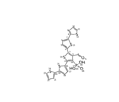 O=Cc1c(-c2ccc(-c3cccs3)s2)sc(-c2ccc(-c3cccs3)s2)c1P(=O)(O)O